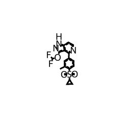 Cc1cc(-c2nccc3[nH]nc(OC(F)F)c23)ccc1S(=O)(=O)C1CC1